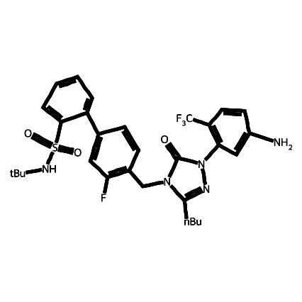 CCCCc1nn(-c2cc(N)ccc2C(F)(F)F)c(=O)n1Cc1ccc(-c2ccccc2S(=O)(=O)NC(C)(C)C)cc1F